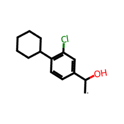 [CH2]C(O)c1ccc(C2CCCCC2)c(Cl)c1